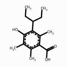 CCC(CC)c1c(C)c(C(=O)O)c(C)c(C)c1O